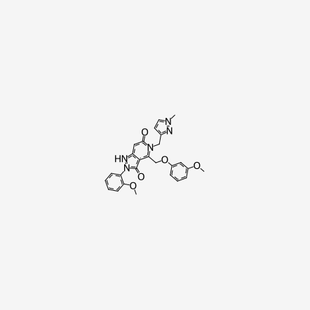 COc1cccc(OCc2c3c(=O)n(-c4ccccc4OC)[nH]c3cc(=O)n2Cc2ccn(C)n2)c1